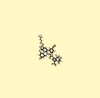 C[Si](C)(C)CCOCn1ncc2nc([C@H](Cc3cc(F)cc(F)c3)NC(=O)Cn3nc(C(F)F)c4c3C(F)(F)[C@@H]3C[C@H]43)c(-c3cccc(C#N)c3)cc21